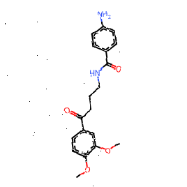 COc1ccc(C(=O)CCCNC(=O)c2ccc(N)cc2)cc1OC